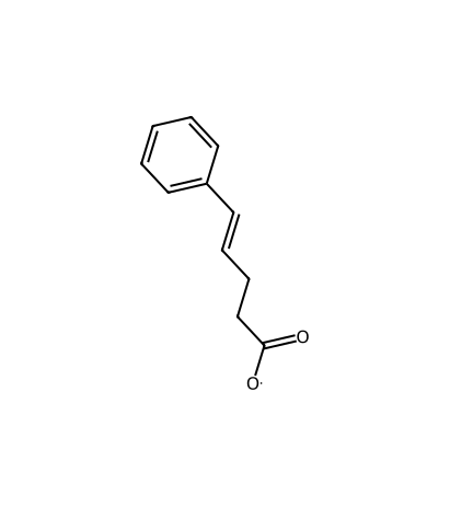 [O]C(=O)CCC=Cc1ccccc1